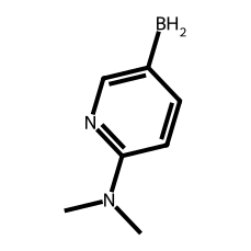 Bc1ccc(N(C)C)nc1